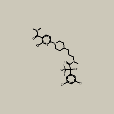 CN(C)C(=O)c1ccc(N2CCC(CCCN(C)C(=O)C(O)(c3cc(Cl)cc(Cl)c3)C(F)(F)I)CC2)nc1Cl